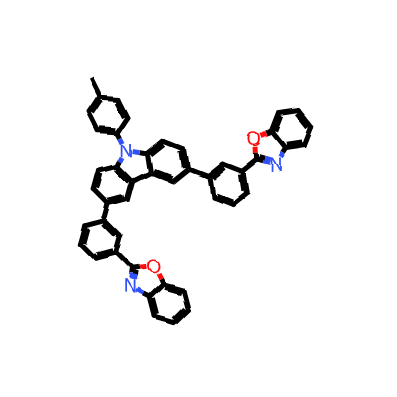 Cc1ccc(-n2c3ccc(-c4cccc(-c5nc6ccccc6o5)c4)cc3c3cc(-c4cccc(-c5nc6ccccc6o5)c4)ccc32)cc1